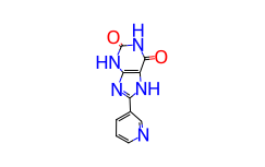 O=c1[nH]c(=O)c2[nH]c(-c3cccnc3)nc2[nH]1